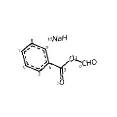 O=COC(=O)c1ccccc1.[NaH]